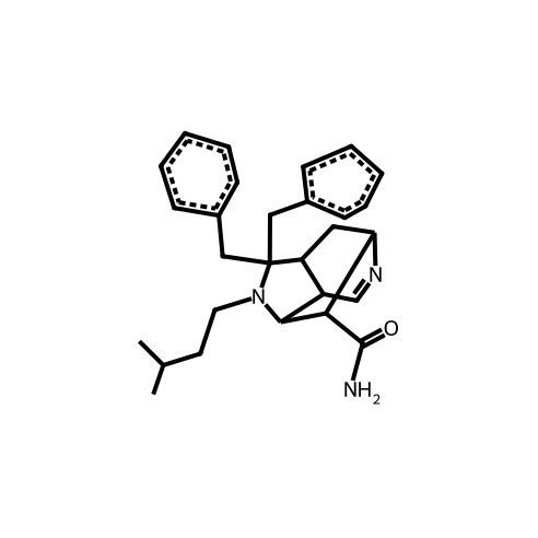 CC(C)CCN1C2C3C=NC(CC3C1(Cc1ccccc1)Cc1ccccc1)C2C(N)=O